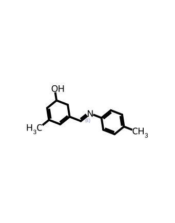 CC1=CC(O)CC(/C=N/c2ccc(C)cc2)=C1